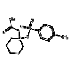 CCCCC(=O)CS1(OS(=O)(=O)c2ccc(C)cc2)CCCCC1